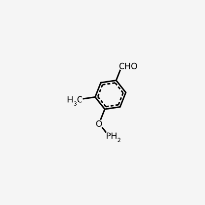 Cc1cc(C=O)ccc1OP